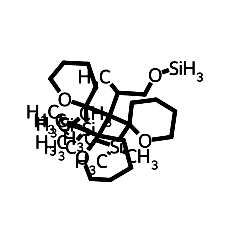 CC(CO[SiH3])C(C1([Si](C)(C)C)CCCCO1)(C1([Si](C)(C)C)CCCCO1)C1([Si](C)(C)C)CCCCO1